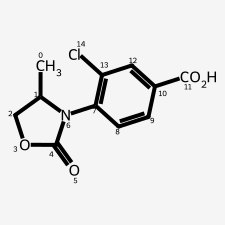 CC1COC(=O)N1c1ccc(C(=O)O)cc1Cl